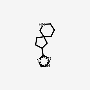 c1noc(C2CCC3(CCCNC3)C2)n1